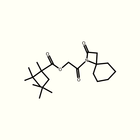 CC(C)(C)CC(C)(C(=O)OCC(=O)N1C(=O)CC12CCCCC2)C(C)(C)C